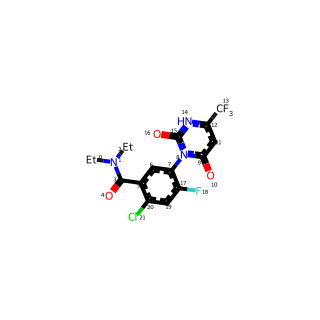 CCN(CC)C(=O)c1cc(-n2c(=O)cc(C(F)(F)F)[nH]c2=O)c(F)cc1Cl